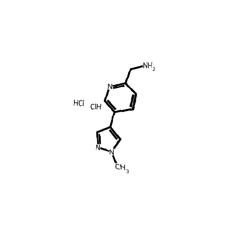 Cl.Cl.Cn1cc(-c2ccc(CN)nc2)cn1